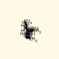 COc1cccc2c1C(=O)c1c(O)c3c(c(O)c1C2=O)CC(O)(C(=O)COC(=O)CNC(=O)CCC(C)=O)C[C@H]3OC1CC(N)C(O)C(C)O1